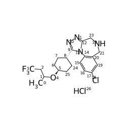 CC(CC(F)(F)F)O[C@H]1CC[C@H](c2nnc3n2-c2ccc(Cl)cc2CNC3)CC1.Cl